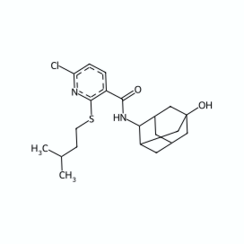 CC(C)CCSc1nc(Cl)ccc1C(=O)NC1C2CC3CC1CC(O)(C3)C2